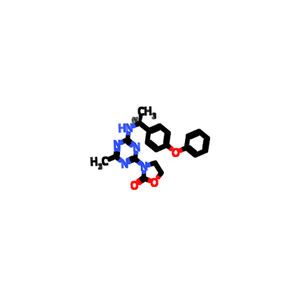 Cc1nc(N[C@@H](C)c2ccc(Oc3ccccc3)cc2)nc(N2CCOC2=O)n1